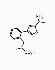 CC(N)c1cc(-c2ccccc2CN(C)C(=O)O)cs1